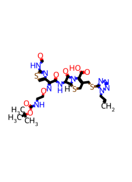 C=CCn1nnnc1SCC1=C(C(=O)O)N2C(=O)C(NC(=O)C(=NOCCNC(=O)OC(C)(C)C)c3csc(NC=O)n3)[C@@H]2SC1